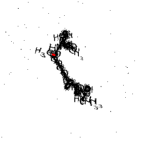 CN[C@@H](C)C(=O)N[C@H](C(=O)N1CCC[C@H]1c1nc(-c2ccc(OCCOCCOCCOCCOCCN(C)C(=O)CCNc3nc(N4CCN(C(C)=O)CC4)c4cc(Cl)c(C5=C(F)C=CC[C@H]5O)c(F)c4n3)c3ccccc23)cs1)C1CCCCC1